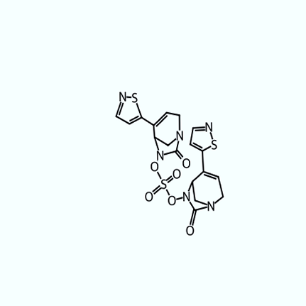 O=C1N2CC=C(c3ccns3)C(C2)N1OS(=O)(=O)ON1C(=O)N2CC=C(c3ccns3)C1C2